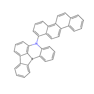 c1ccc2c(c1)B1c3ccccc3N(c3cccc4c3ccc3c5ccccc5ccc43)c3cccc-2c31